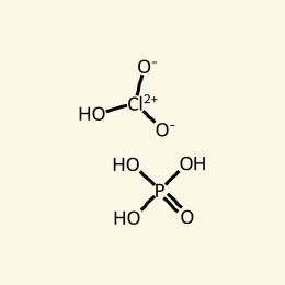 O=P(O)(O)O.[O-][Cl+2]([O-])O